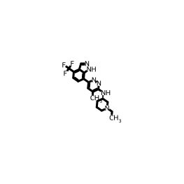 CCN1CCC[C@@H](Nc2nnc(-c3ccc(C(F)(F)F)c4cn[nH]c34)cc2C)C1